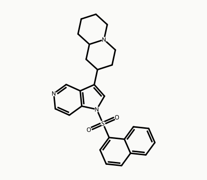 O=S(=O)(c1cccc2ccccc12)n1cc(C2CCN3CCCCC3C2)c2cnccc21